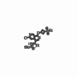 CC[C@H](N[S@@+]([O-])C(C)(C)C)c1cnc(OC2CC(S(=O)(=O)CC)C2)c2cnc(Cl)cc12